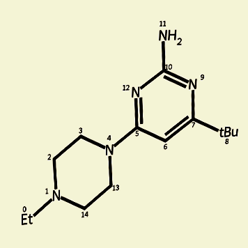 CCN1CCN(c2cc(C(C)(C)C)nc(N)n2)CC1